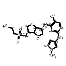 Cn1cc(Nc2ncc(Cl)c(N[C@@H]3COC4C3OC[C@@H]4NS(=O)(=O)CCO)n2)cn1